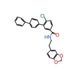 O=C(NCCc1ccc2c(c1)OCO2)c1ccc(Cl)c(-c2ccc(-c3ccccc3)cc2)c1